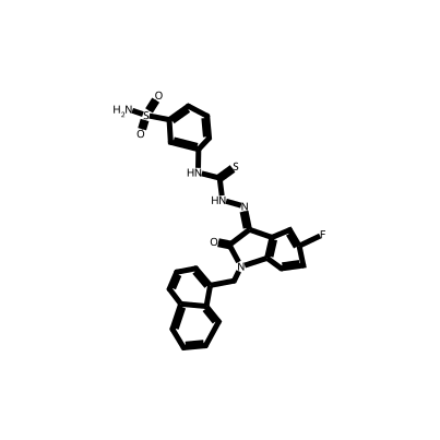 NS(=O)(=O)c1cccc(NC(=S)NN=C2C(=O)N(Cc3cccc4ccccc34)c3ccc(F)cc32)c1